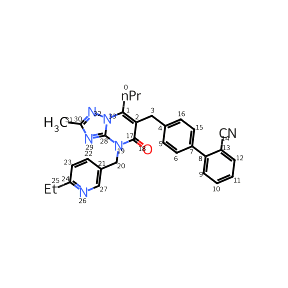 CCCc1c(Cc2ccc(-c3ccccc3C#N)cc2)c(=O)n(Cc2ccc(CC)nc2)c2nc(C)nn12